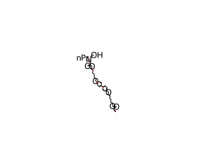 C=CC(=O)OCCCCCCOc1ccc(-c2ccc(OCCCCCCOC(=O)CCN(CCC)CCO)cc2)cc1